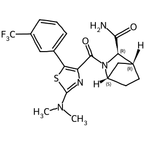 CN(C)c1nc(C(=O)N2[C@H]3CC[C@H](C3)[C@@H]2C(N)=O)c(-c2cccc(C(F)(F)F)c2)s1